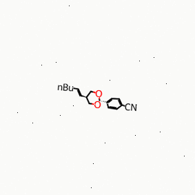 CCCCC=C[C@H]1CO[C@H](c2ccc(C#N)cc2)OC1